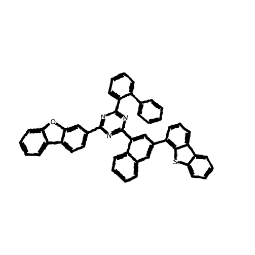 c1ccc(-c2ccccc2-c2nc(-c3ccc4c(c3)oc3ccccc34)nc(-c3cc(-c4cccc5c4sc4ccccc45)cc4ccccc34)n2)cc1